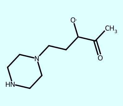 CC(=O)C([O])CCN1CCNCC1